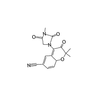 CN1C(=O)CN(C2=C3C=C(C#N)C=CC3OC(C)(C)C2=O)C1=O